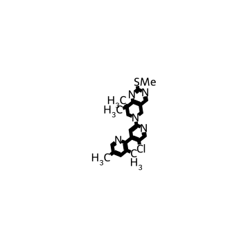 CSc1ncc2c(n1)C(C)(C)CN(c1cc(-c3ncc(C)cc3C)c(Cl)cn1)C2